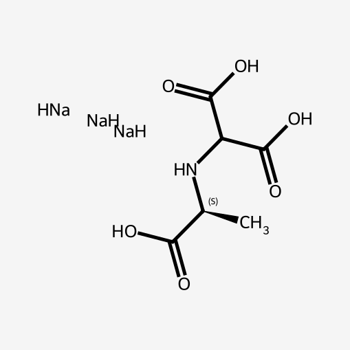 C[C@H](NC(C(=O)O)C(=O)O)C(=O)O.[NaH].[NaH].[NaH]